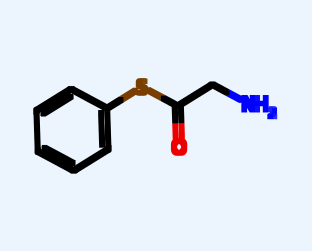 NCC(=O)Sc1ccccc1